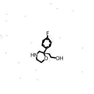 OCC[C@]1(c2ccc(F)cc2)CNCCO1